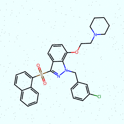 O=S(=O)(c1cccc2ccccc12)c1nn(Cc2cccc(Cl)c2)c2c(OCCN3CCCCC3)cccc12